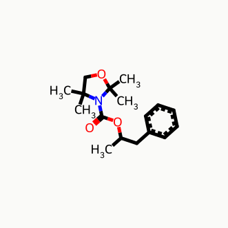 CC(Cc1ccccc1)OC(=O)N1C(C)(C)COC1(C)C